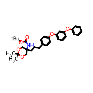 CC(C)(C)OC(=O)NC1(CCCc2ccc(Oc3cccc(Oc4ccccc4)c3)cc2)COC(C)(C)OC1